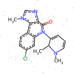 CC1C(n2c(=O)c3ncn(C)c3c3ccc(Cl)cc32)=CC=CN1C